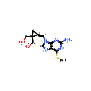 CCCSc1nc(N)nc2c1ncn2/C=C1/CC1(CO)CO